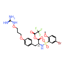 COc1ccc(Br)cc1S(=O)(=O)N[C@@H](Cc1ccc(OCCCONC(=N)N)cc1)C(=O)OC(=O)C(F)(F)F